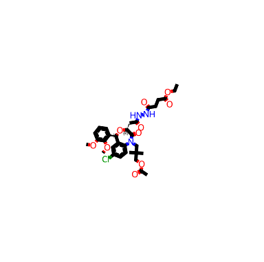 CCOC(=O)CCC(=O)NNC(=O)C[C@H]1O[C@H](c2cccc(OC)c2OC)c2cc(Cl)ccc2N(CC(C)(C)COC(C)=O)C1=O